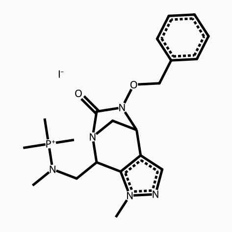 CN(CC1c2c(cnn2C)C2CN1C(=O)N2OCc1ccccc1)[P+](C)(C)C.[I-]